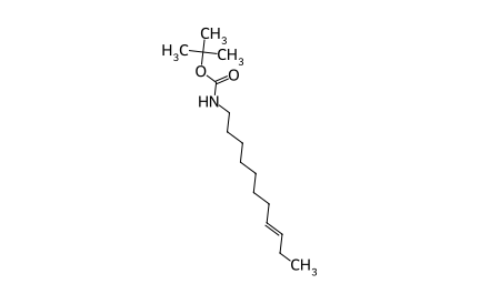 CCC=CCCCCCCCNC(=O)OC(C)(C)C